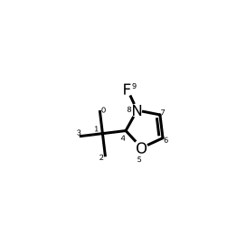 CC(C)(C)C1OC=CN1F